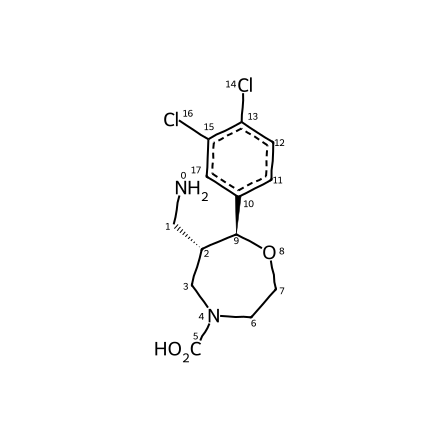 NC[C@H]1CN(C(=O)O)CCO[C@@H]1c1ccc(Cl)c(Cl)c1